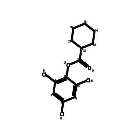 O=C(Oc1c(Cl)cc(Cl)cc1Cl)N1CCCCC1